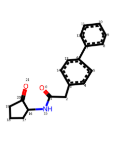 O=C(Cc1ccc(-c2ccccc2)cc1)NC1CCCC1=O